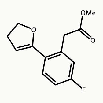 COC(=O)Cc1cc(F)ccc1C1=CCCO1